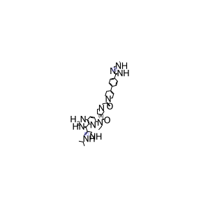 CCN(C(=O)[C@@H]1CCN(CC(=O)N2CC=C(c3ccc(C(=N)/N=C\NC)cc3)CC2)C1)c1ccc(N)c(C(=N)/C(C=N)=C/NC(C)C)n1